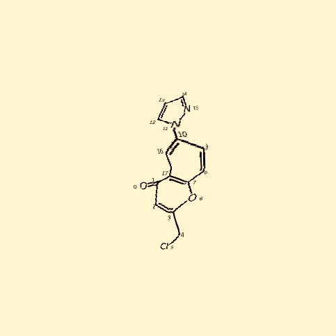 O=c1cc(CCl)oc2ccc(-n3cccn3)cc12